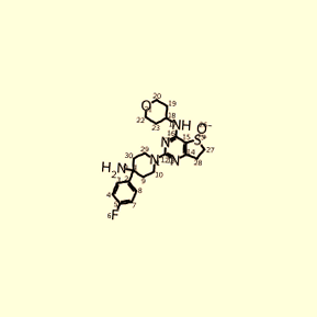 NC1(c2ccc(F)cc2)CCN(c2nc3c(c(NC4CCOCC4)n2)[S+]([O-])CC3)CC1